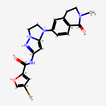 CN1CCc2cc(N3CCn4nc(NC(=O)c5cc(Br)co5)cc43)ccc2C1=O